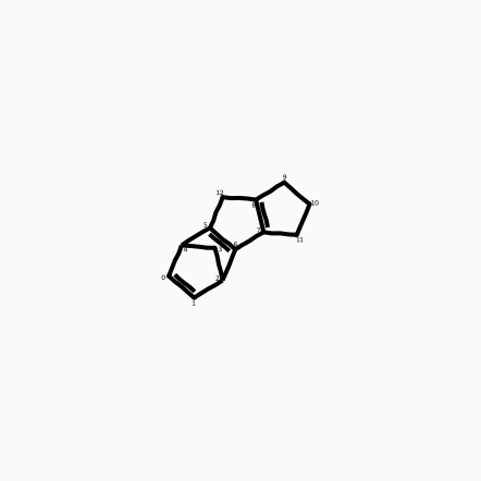 C1=CC2CC1C1=C2C2=C(CCC2)C1